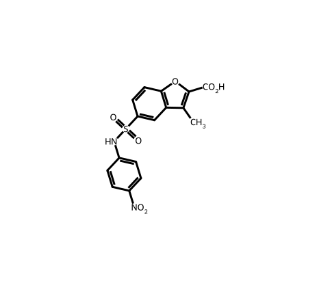 Cc1c(C(=O)O)oc2ccc(S(=O)(=O)Nc3ccc([N+](=O)[O-])cc3)cc12